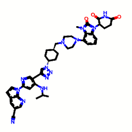 CC(C)Nc1cc(-n2ccc3cc(C#N)cnc32)ncc1-c1cn([C@H]2CC[C@H](CN3CCN(c4cccc5c4n(C)c(=O)n5C4CCC(=O)NC4=O)CC3)CC2)nn1